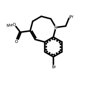 COC(=O)C1=Cc2cc(Br)ccc2N(CC(C)C)CCC1